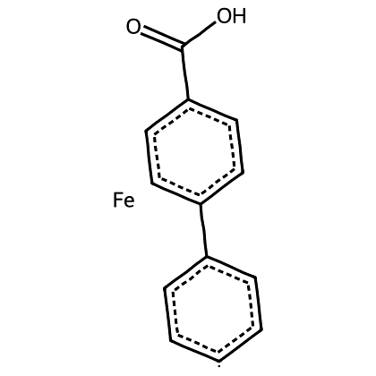 O=C(O)c1ccc(-c2cc[c]cc2)cc1.[Fe]